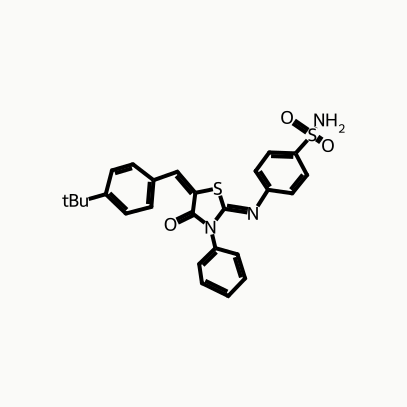 CC(C)(C)c1ccc(C=C2S/C(=N\c3ccc(S(N)(=O)=O)cc3)N(c3ccccc3)C2=O)cc1